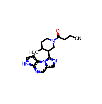 CC1CCN(C(=O)CCC#N)CC1c1ncc2cnc3[nH]ccc3n12